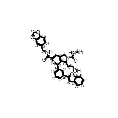 CC(C)NC(=O)N1Cc2cc(C(=O)NCc3ccc4c(c3)OCO4)nc(-c3cccc(-c4cc5ccccc5o4)c3)c2C1CCO